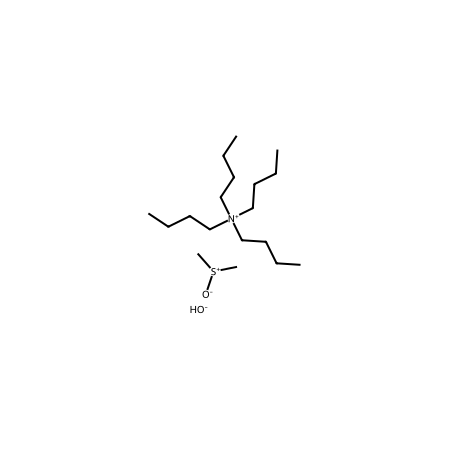 CCCC[N+](CCCC)(CCCC)CCCC.C[S+](C)[O-].[OH-]